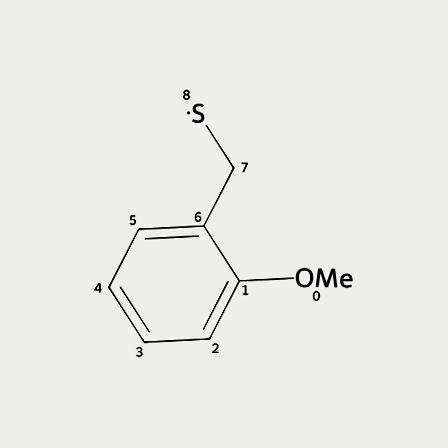 COc1ccccc1C[S]